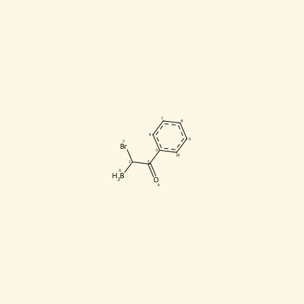 BC(Br)C(=O)c1ccccc1